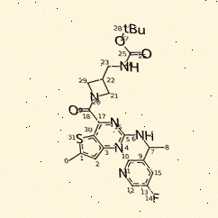 Cc1cc2nc(NC(C)c3cncc(F)c3)nc(C(=O)N3CC(CNC(=O)OC(C)(C)C)C3)c2s1